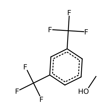 CO.FC(F)(F)c1cccc(C(F)(F)F)c1